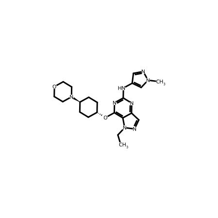 CCn1ncc2nc(Nc3cnn(C)c3)nc(O[C@H]3CC[C@H](N4CCOCC4)CC3)c21